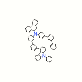 c1ccc(-c2cccc(-c3ccc(N(c4cccc(-c5cccc(-c6cccc7c6c6ccccc6n7-c6ccccc6)c5)c4)c4cc5ccccc5c5ccccc45)cc3)c2)cc1